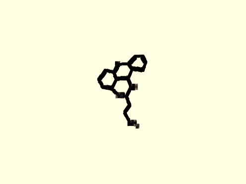 NCCCNc1c2ccccc2nc2cccc(N=O)c12